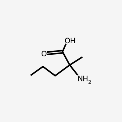 CCCC(C)(N)C(=O)O